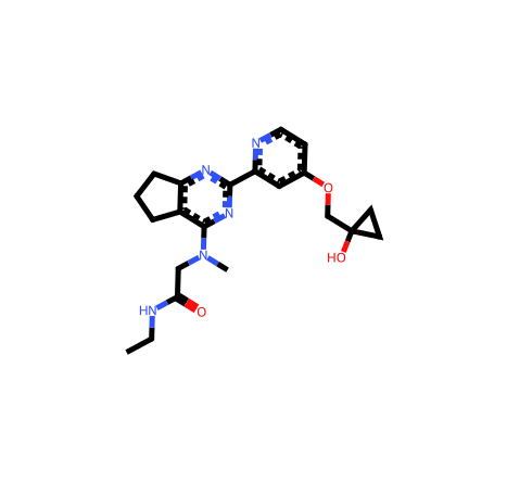 CCNC(=O)CN(C)c1nc(-c2cc(OCC3(O)CC3)ccn2)nc2c1CCC2